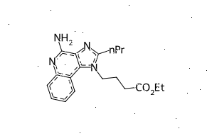 CCCc1nc2c(N)nc3ccccc3c2n1CCCC(=O)OCC